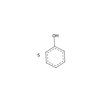 Oc1ccccc1.[S]